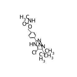 CNC(=O)OCc1ccc(-c2nn3nc(C(C)(C)C)c(Cl)c3[nH]2)cc1